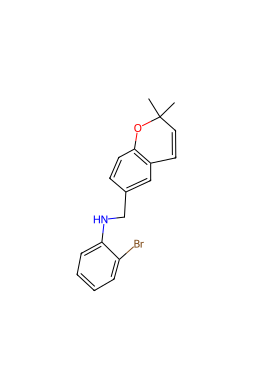 CC1(C)C=Cc2cc(CNc3ccccc3Br)ccc2O1